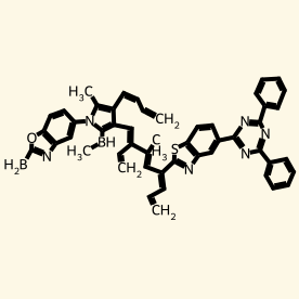 Bc1nc2cc(-n3c(C)c(/C=C\C=C)c(/C=C(C=C)/C(C)=C/C(=C\C=C)c4nc5cc(-c6nc(-c7ccccc7)nc(-c7ccccc7)n6)ccc5s4)c3BC)ccc2o1